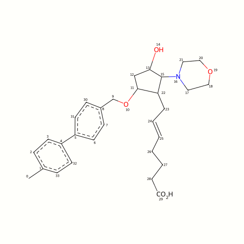 Cc1ccc(-c2ccc(COC3CC(O)C(N4CCOCC4)C3CC=CCCCC(=O)O)cc2)cc1